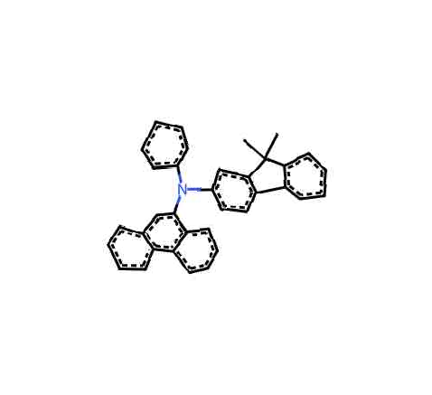 CC1(C)c2ccccc2-c2ccc(N(c3ccccc3)c3cc4ccccc4c4ccccc34)cc21